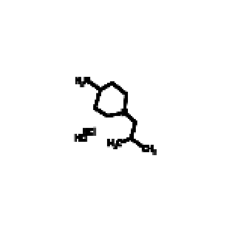 CC(C)CN1CCC(N)CC1.Cl.Cl